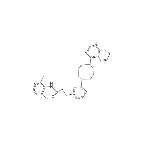 Cc1ccnc(C)c1NC(=O)CCc1cccc(C2CCCC(c3ncnc4c3C=CCC4)CCC2)c1